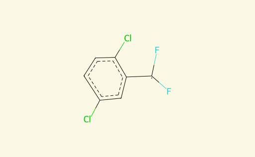 F[C](F)c1cc(Cl)ccc1Cl